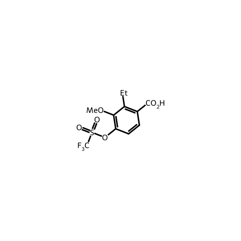 CCc1c(C(=O)O)ccc(OS(=O)(=O)C(F)(F)F)c1OC